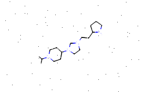 CC(C)N1CCC(N2[C]N(CCC3CCCN3C)CC2)CC1